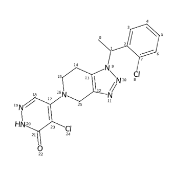 CC(c1ccccc1Cl)n1nnc2c1CCN(c1cn[nH]c(=O)c1Cl)C2